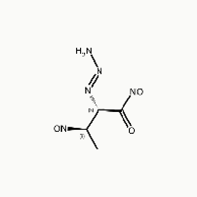 C[C@@H](N=O)[C@H](N=NN)C(=O)N=O